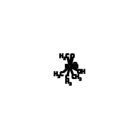 [CH3][Ru]([CH3])([CH3])([CH3])(=[O])(=[O])(=[O])[OH]